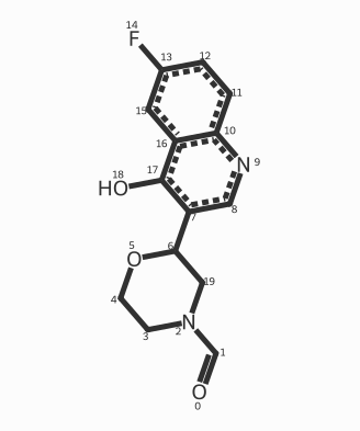 O=CN1CCOC(c2cnc3ccc(F)cc3c2O)C1